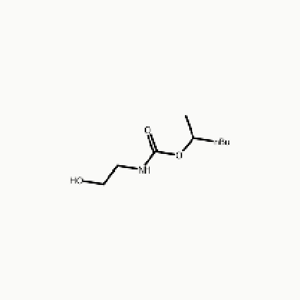 CCCCC(C)OC(=O)NCCO